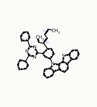 C=C/C(=C\C=C/C)c1ccc(-n2c3ccccc3c3ccc4c5ccccc5sc4c32)cc1-c1nc(-c2ccccc2)nc(-c2ccccc2)n1